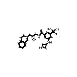 CC(C)(C)c1nc(NC2CNC2)cc(C(=O)NC[C@H](O)CN2CCc3ccccc3C2)n1